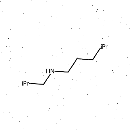 CC(C)CCCNCC(C)C